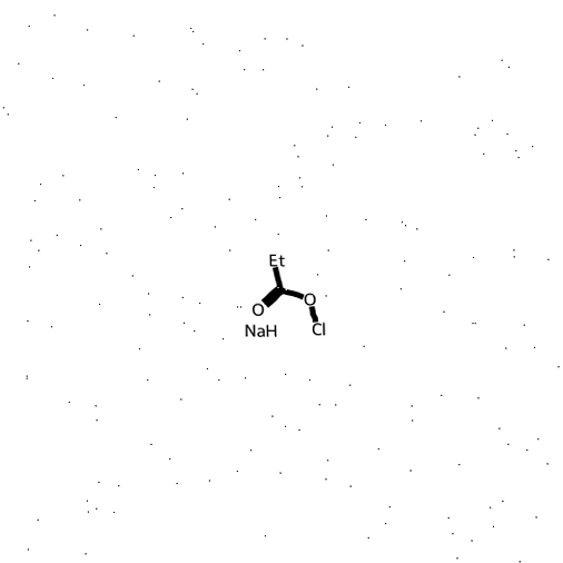 CCC(=O)OCl.[NaH]